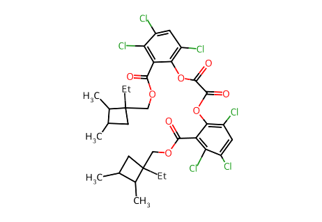 CCC1(COC(=O)c2c(Cl)c(Cl)cc(Cl)c2OC(=O)C(=O)Oc2c(Cl)cc(Cl)c(Cl)c2C(=O)OCC2(CC)CC(C)C2C)CC(C)C1C